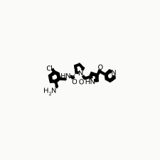 NCc1ccc(Cl)cc1CNC(=O)[C@@H]1CCCN1C(=O)c1cc(C(=O)c2cccnc2)c[nH]1